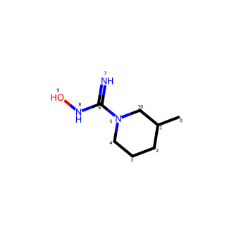 CC1CCCN(C(=N)NO)C1